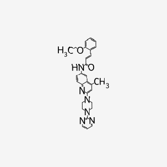 CCOc1ccccc1C=CC(=O)Nc1ccc2nc(N3CCN(c4ncccn4)CC3)cc(C)c2c1